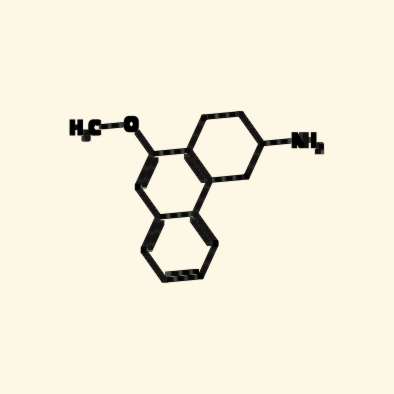 COc1cc2ccccc2c2c1CCC(N)C2